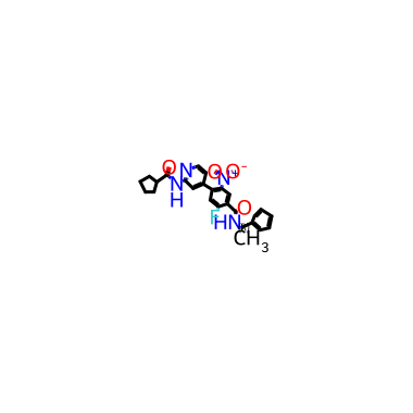 C[C@@H](NC(=O)c1cc([N+](=O)[O-])c(-c2ccnc(NC(=O)C3CCCC3)c2)cc1F)c1ccccc1